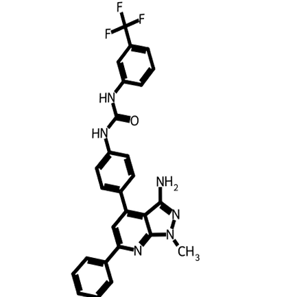 Cn1nc(N)c2c(-c3ccc(NC(=O)Nc4cccc(C(F)(F)F)c4)cc3)cc(-c3ccccc3)nc21